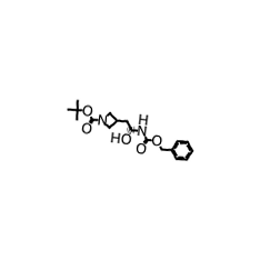 CC(C)(C)OC(=O)N1CC(C[C@@H](O)NC(=O)OCc2ccccc2)C1